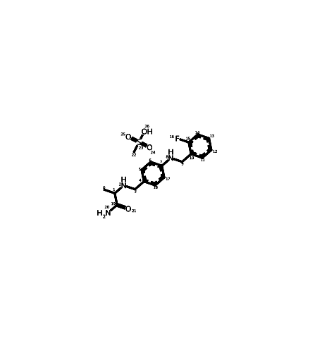 CC(NCc1ccc(NCc2ccccc2F)cc1)C(N)=O.CS(=O)(=O)O